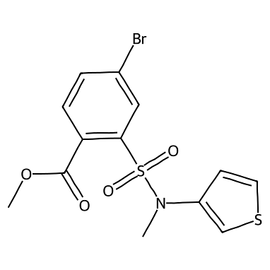 COC(=O)c1ccc(Br)cc1S(=O)(=O)N(C)c1ccsc1